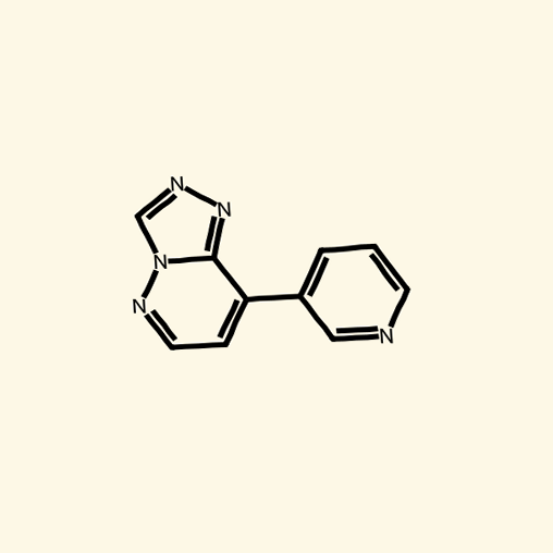 c1cncc(-c2ccnn3cnnc23)c1